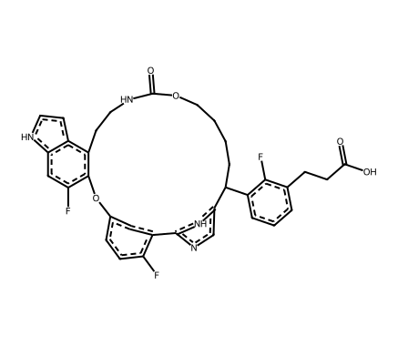 O=C(O)CCc1cccc(C2CCCCOC(=O)NCCc3c(c(F)cc4[nH]ccc34)Oc3ccc(F)c(c3)-c3ncc2[nH]3)c1F